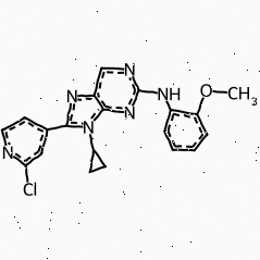 COc1ccccc1Nc1ncc2nc(-c3ccnc(Cl)c3)n(C3CC3)c2n1